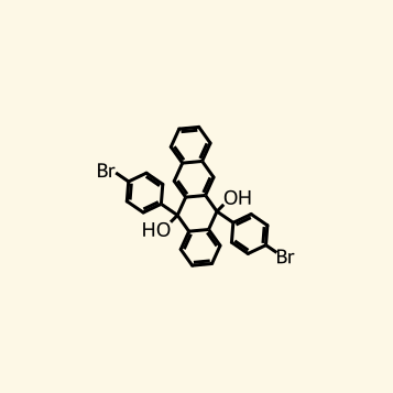 OC1(c2ccc(Br)cc2)c2ccccc2C(O)(c2ccc(Br)cc2)c2cc3ccccc3cc21